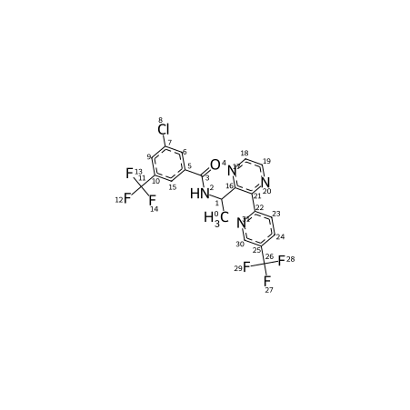 CC(NC(=O)c1cc(Cl)cc(C(F)(F)F)c1)c1nccnc1-c1ccc(C(F)(F)F)cn1